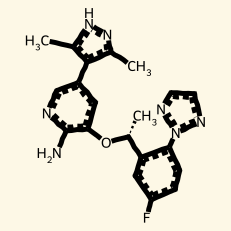 Cc1n[nH]c(C)c1-c1cnc(N)c(O[C@H](C)c2cc(F)ccc2-n2nccn2)c1